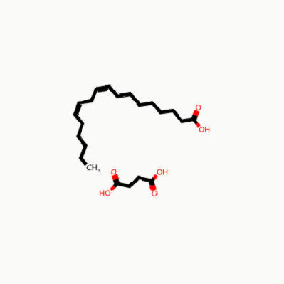 CCCCC/C=C\C/C=C\CCCCCCCC(=O)O.O=C(O)CCC(=O)O